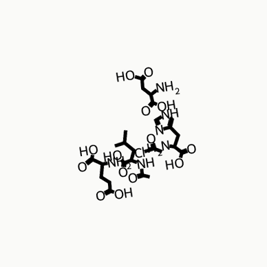 CC(=O)Cl.CC(=O)NC(CC(C)C)C(=O)O.NC(CC(=O)O)C(=O)O.NC(CCC(=O)O)C(=O)O.NC(Cc1c[nH]cn1)C(=O)O